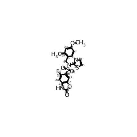 COc1ccc(CN(c2nccs2)S(=O)(=O)c2cc3oc(=O)[nH]c3cc2F)c(C)c1